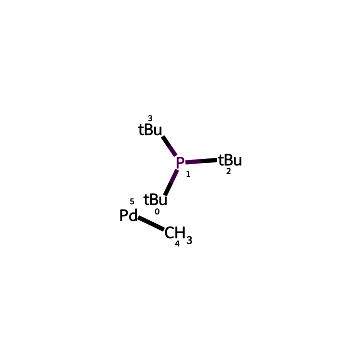 CC(C)(C)P(C(C)(C)C)C(C)(C)C.[CH3][Pd]